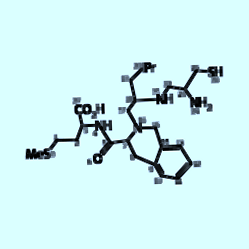 CSCCC(NC(=O)C1Cc2ccccc2CN1CC(CC(C)C)NCC(N)CS)C(=O)O